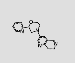 C1=NCCc2ncc(N3CCOC(c4ccccn4)C3)cc21